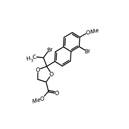 COC(=O)C1COC(c2ccc3c(Br)c(OC)ccc3c2)(C(C)Br)O1